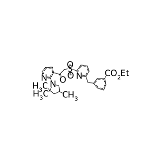 CCOC(=O)c1cccc(Cc2cccc(S(=O)(=O)CC(=O)c3cccnc3N3CC(C)CC3(C)C)n2)c1